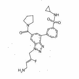 NC/C=C(\F)Cn1nnc2c(-c3cccc(S(=O)(=O)NC4CC4)c3)cc(C(=O)N3CCCC3)cc21